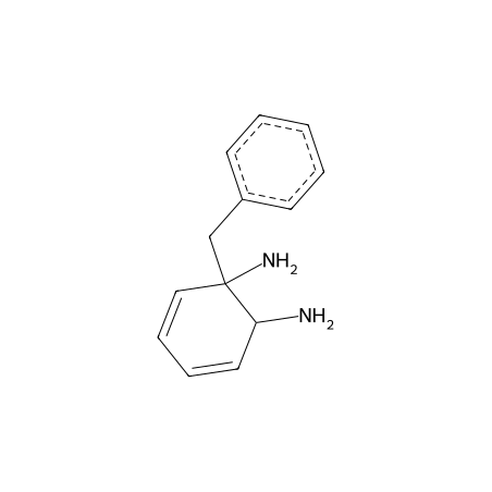 NC1C=CC=CC1(N)Cc1ccccc1